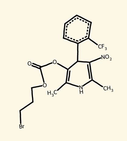 CC1=C(OC(=O)OCCCBr)C(c2ccccc2C(F)(F)F)C([N+](=O)[O-])=C(C)N1